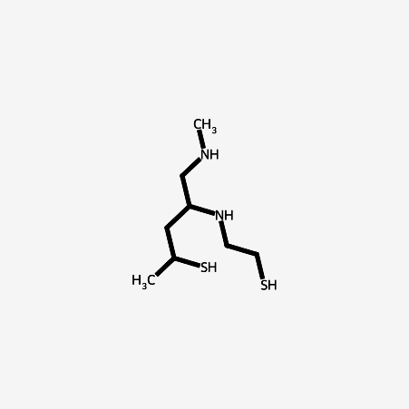 CNCC(CC(C)S)NCCS